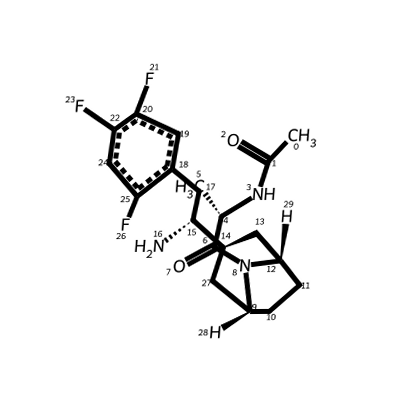 CC(=O)N[C@@H](C)C(=O)N1[C@@H]2CC[C@H]1C[C@H]([C@H](N)Cc1cc(F)c(F)cc1F)C2